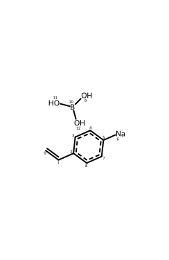 C=Cc1cc[c]([Na])cc1.OB(O)O